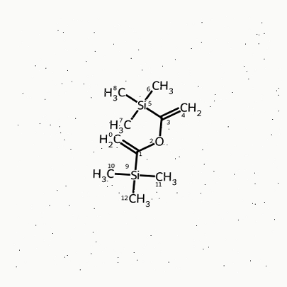 C=C(OC(=C)[Si](C)(C)C)[Si](C)(C)C